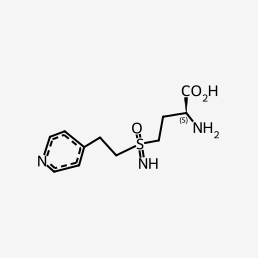 N=S(=O)(CCc1ccncc1)CC[C@H](N)C(=O)O